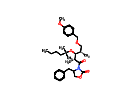 CCCC[Si](C)(C)O[C@@H]([C@@H](C)COCc1ccc(OC)cc1)[C@@H](C)C(=O)N1C(=O)OCC1Cc1ccccc1